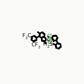 CC1=Cc2c(ccc(C)c2-c2cc(C(F)(F)F)cc(C(F)(F)F)c2)[CH]1[Zr]([Cl])([Cl])[c]1cccc2c1[SiH2]c1ccccc1-2